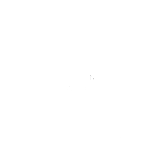 O=C(c1ccc(Cl)cc1)N1CCc2ccccc2C1Cc1ccccc1